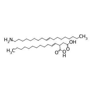 CCCCCCCCC=CCCCCCCCCN.CCCCCCCCCCC=CC(CC(=O)O)C(=O)O